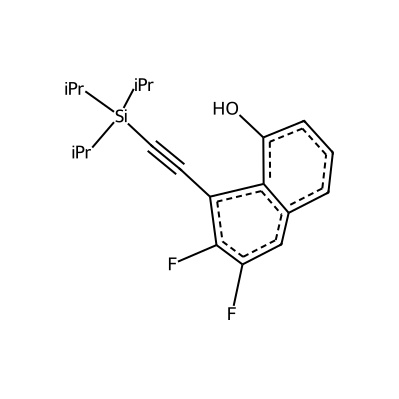 CC(C)[Si](C#Cc1c(F)c(F)cc2cccc(O)c12)(C(C)C)C(C)C